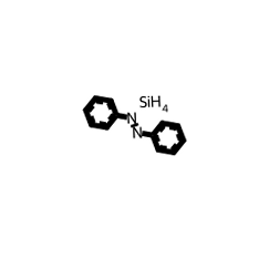 [SiH4].c1ccc(N=Nc2ccccc2)cc1